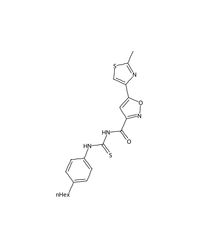 CCCCCCc1ccc(NC(=S)NC(=O)c2cc(-c3csc(C)n3)on2)cc1